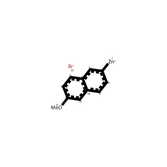 COc1ccc2c[c]([Zn+])ccc2c1.[Br-]